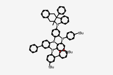 CC(C)(C)c1ccc(N2c3cc(N4c5ccccc5C5(c6ccccc6)Cc6ccccc6CC45C)ccc3B3c4ccc(-c5ccccc5)cc4N(c4ccc(C(C)(C)C)cc4-c4ccccc4)c4cc(C(C)(C)C)cc2c43)cc1